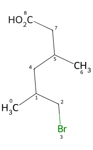 CC(CBr)CC(C)CC(=O)O